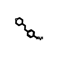 O=S(=O)(O)c1ccc(CCC2CCOCC2)cc1